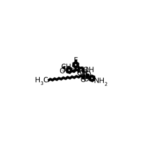 CC1=C(CC(=O)O)c2cc(F)ccc2/C1=C\c1ccc([S+](C)[O-])cc1.CCCCCCCCCCCCCCCCCC(=O)NS(=O)(=O)c1ccc(N)cc1